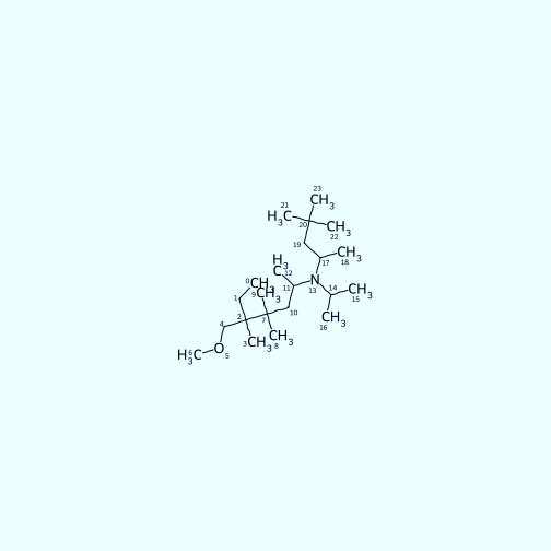 CCC(C)(COC)C(C)(C)CC(C)N(C(C)C)C(C)CC(C)(C)C